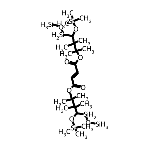 CC(C)(OC(=O)/C=C/C(=O)OC(C)(C)C(C)(C)C(O[Si](C)(C)C)[SiH2]O[SiH3])C(C)(C)C(O[Si](C)(C)C)[SiH2]O[SiH3]